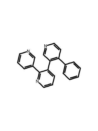 c1ccc(-c2ccncc2-c2cccnc2-c2cccnc2)cc1